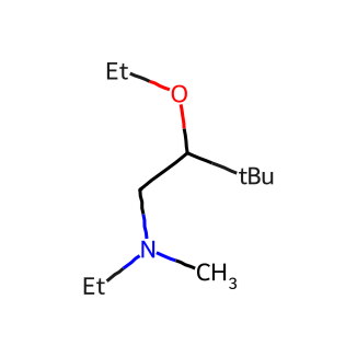 CCOC(CN(C)CC)C(C)(C)C